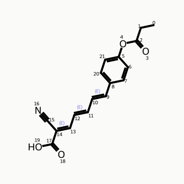 CCC(=O)Oc1ccc(/C=C/C=C/C=C(\C#N)C(=O)O)cc1